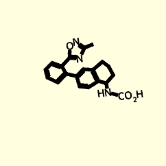 Cc1noc(-c2ccccc2-c2ccc3c(c2)CCCC3NC(=O)O)n1